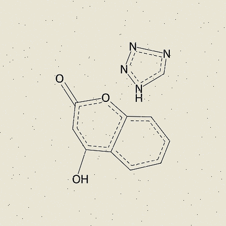 O=c1cc(O)c2ccccc2o1.c1nnn[nH]1